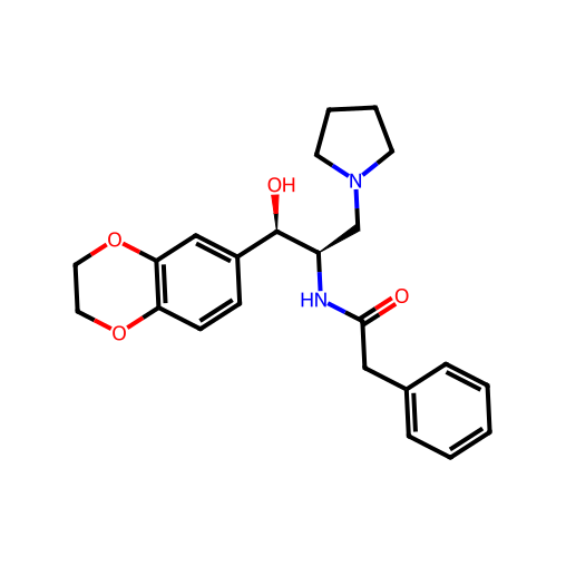 O=C(Cc1ccccc1)N[C@H](CN1CCCC1)[C@H](O)c1ccc2c(c1)OCCO2